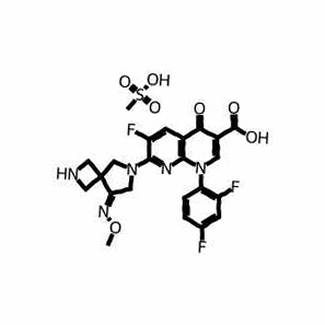 CON=C1CN(c2nc3c(cc2F)c(=O)c(C(=O)O)cn3-c2ccc(F)cc2F)CC12CNC2.CS(=O)(=O)O